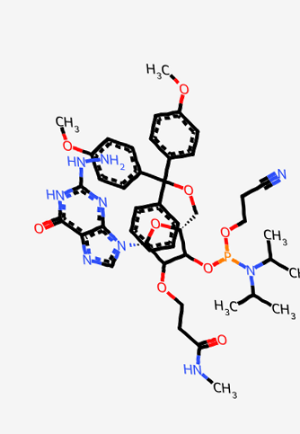 CNC(=O)CCOC1C(OP(OCCC#N)N(C(C)C)C(C)C)[C@@H](COC(c2ccccc2)(c2ccc(OC)cc2)c2ccc(OC)cc2)O[C@H]1n1cnc2c(=O)[nH]c(NN)nc21